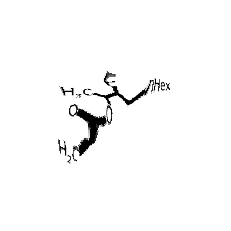 C=CC(=O)OC(C)C(F)CCCCCCC